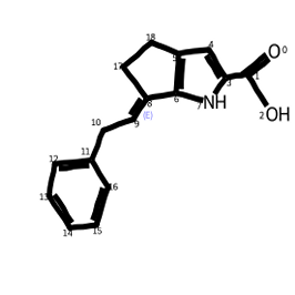 O=C(O)c1cc2c([nH]1)/C(=C/Cc1ccccc1)CC2